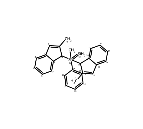 CC1=Cc2ccccc2[CH]1[Zr]([CH3])(=[SiH2])([c]1ccccc1)[CH]1C(C)=Cc2ccccc21